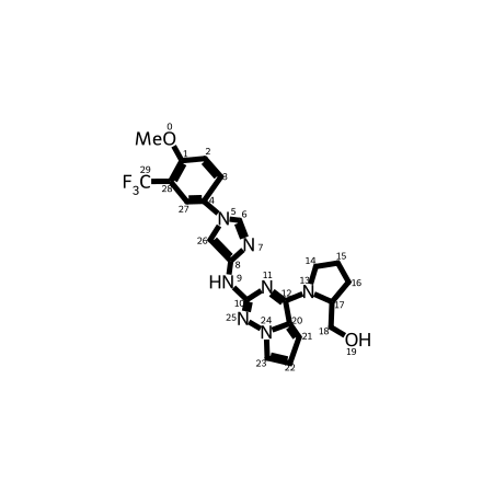 COc1ccc(-n2cnc(Nc3nc(N4CCCC4CO)c4cccn4n3)c2)cc1C(F)(F)F